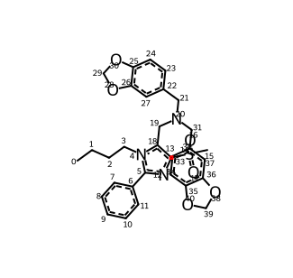 CCCCn1c(-c2ccccc2)nc(S(C)(=O)=O)c1CN(Cc1ccc2c(c1)OCO2)Cc1ccc2c(c1)OCO2